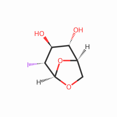 O[C@H]1[C@H](O)[C@H]2CO[C@H](O2)[C@@H]1I